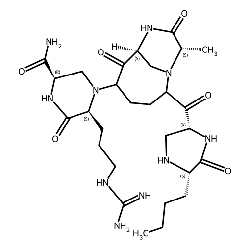 CCCC[C@@H]1NC[C@H](C(=O)C2CCC(N3C[C@H](C(N)=O)NC(=O)[C@@H]3CCCNC(=N)N)C(=O)[C@@H]3CN2[C@@H](C)C(=O)N3)NC1=O